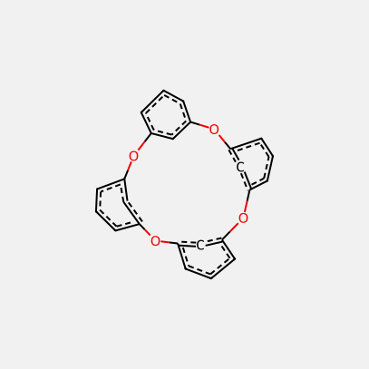 c1cc2cc(c1)Oc1cccc(c1)Oc1cccc(c1)Oc1cccc(c1)O2